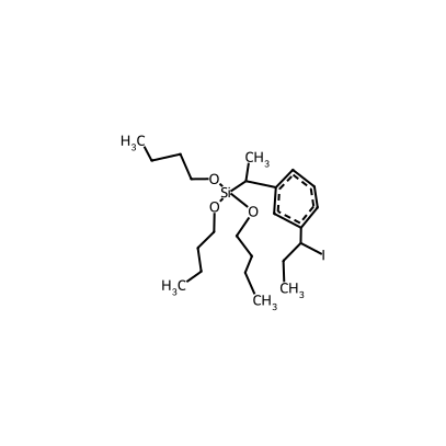 CCCCO[Si](OCCCC)(OCCCC)C(C)c1cccc(C(I)CC)c1